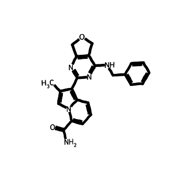 Cc1cn2c(C(N)=O)cccc2c1-c1nc2c(c(NCc3ccccc3)n1)COC2